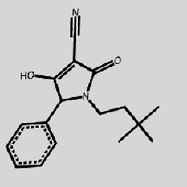 CC(C)(C)CCN1C(=O)C(C#N)=C(O)C1c1ccccc1